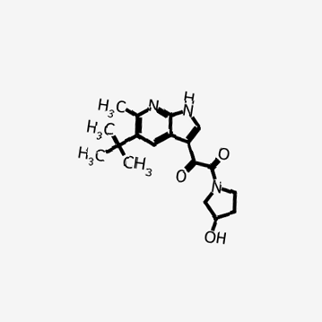 Cc1nc2[nH]cc(C(=O)C(=O)N3CCC(O)C3)c2cc1C(C)(C)C